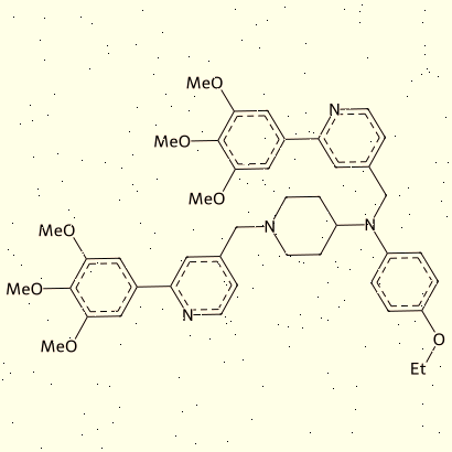 CCOc1ccc(N(Cc2ccnc(-c3cc(OC)c(OC)c(OC)c3)c2)C2CCN(Cc3ccnc(-c4cc(OC)c(OC)c(OC)c4)c3)CC2)cc1